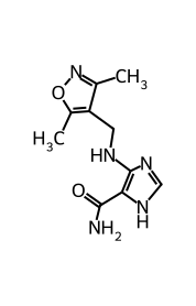 Cc1noc(C)c1CNc1nc[nH]c1C(N)=O